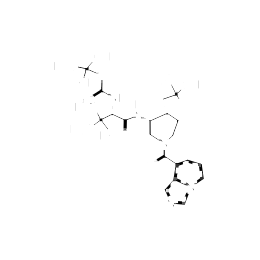 CC(C)(C)C[C@@H]1CCN(C(=O)c2cccn3cncc23)C[C@H]1NC(=O)[C@@H](NC(=O)OC(C)(C)C)C(C)(C)C